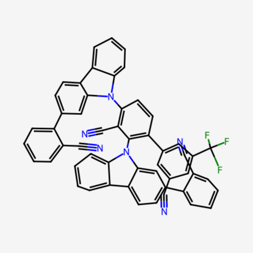 N#Cc1cc(-c2ccc(-n3c4ccccc4c4ccc(-c5ccccc5C#N)cc43)c(C#N)c2-n2c3ccccc3c3ccc(-c4ccccc4C#N)cc32)cc(C(F)(F)F)c1